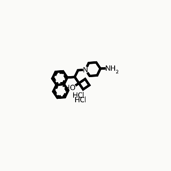 Cl.Cl.NC1CCN(CC(c2cccc3ccccc23)C2(O)CCC2)CC1